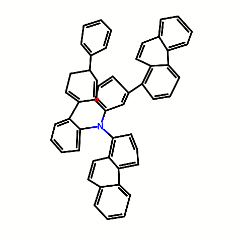 C1=CC(c2ccccc2)CC=C1c1ccccc1N(c1cccc(-c2cccc3c2ccc2ccccc23)c1)c1cccc2c1ccc1ccccc12